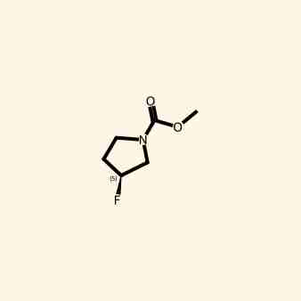 COC(=O)N1CC[C@H](F)C1